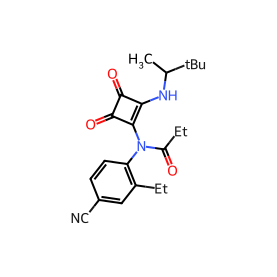 CCC(=O)N(c1ccc(C#N)cc1CC)c1c(NC(C)C(C)(C)C)c(=O)c1=O